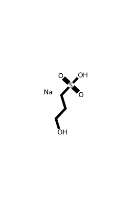 O=S(=O)(O)CCCO.[Na]